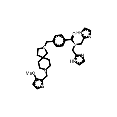 COc1ccsc1CN1CCC2(CC1)CCN(Cc1ccc(C(=O)N(Cc3ncc[nH]3)Cc3ncc[nH]3)cc1)C2